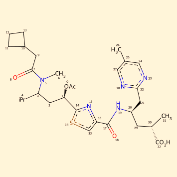 CC(=O)O[C@H](CC(C(C)C)N(C)C(=O)CC1CCC1)c1nc(C(=O)N[C@@H](Cc2ncc(C)cn2)C[C@H](C)C(=O)O)cs1